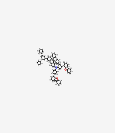 c1ccc(-c2cc(-c3ccccc3)cc(-c3ccc4c(c3)-c3ccc(N(c5ccc(-c6cccc7c6oc6ccccc67)cc5)c5ccc(-c6cccc7c6oc6ccccc67)cc5)cc3C43c4ccccc4-c4ccccc43)c2)cc1